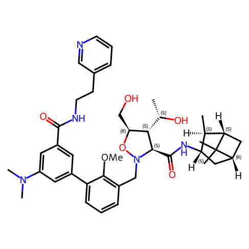 COc1c(CN2O[C@@H](CO)[C@H]([C@H](C)O)[C@H]2C(=O)N[C@H]2C[C@H]3C[C@@H]([C@@H]2C)C3(C)C)cccc1-c1cc(C(=O)NCCc2cccnc2)cc(N(C)C)c1